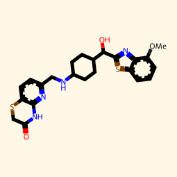 COc1cccc2sc(C(O)C3CCC(NCc4ccc5c(n4)NC(=O)CS5)CC3)nc12